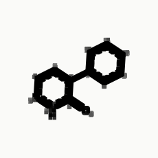 O=c1[nH]nccc1-c1ccccc1